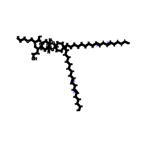 CCCCC/C=C/C/C=C/CCCCCCCCC1(CCCCCCCC/C=C/C/C=C/CCCCC)CCC2(CC1)O[C@H]1C[C@@H](N(C)CCO)[C@@H](N(C)CCOCCC)C[C@@H]1O2